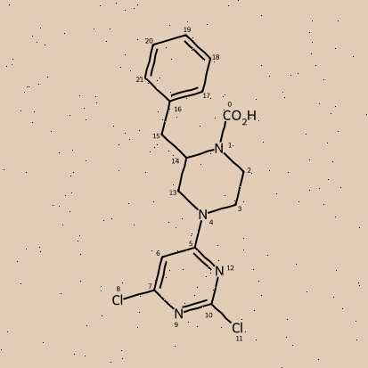 O=C(O)N1CCN(c2cc(Cl)nc(Cl)n2)CC1Cc1ccccc1